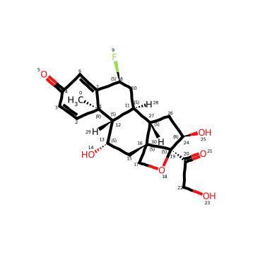 C[C@]12C=CC(=O)C=C1[C@@H](F)C[C@@H]1[C@@H]2[C@@H](O)C[C@]23CO[C@]2(C(=O)CO)[C@H](O)C[C@@H]13